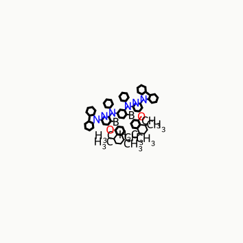 CC1(C)CCC(C)(C)c2c1ccc1c2Oc2cc(-n3c4ccccc4c4ccccc43)nc3c2B1c1cc2c(cc1N3c1ccccc1)N(c1ccccc1)c1nc(-n3c4ccccc4c4ccccc43)cc3c1B2c1ccc2c(c1O3)C(C)(C)CCC2(C)C